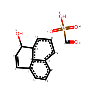 O=CS(=O)(=O)O.OC1C=Cc2cccc3cccc1c23